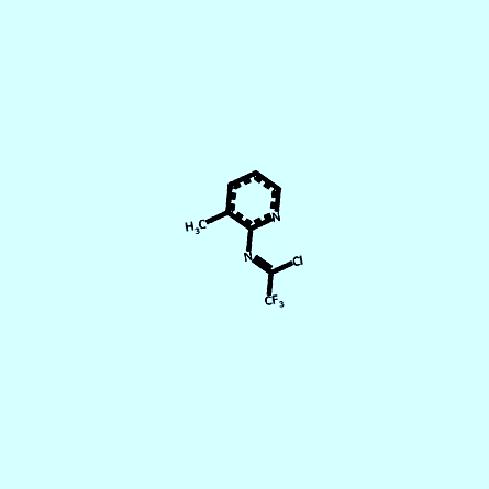 Cc1cccnc1N=C(Cl)C(F)(F)F